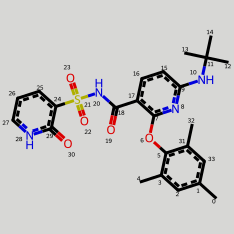 Cc1cc(C)c(Oc2nc(NC(C)(C)C)ccc2C(=O)NS(=O)(=O)c2ccc[nH]c2=O)c(C)c1